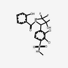 CNS(=O)(=O)c1ccc(C(NC(=O)c2ccccc2O)C(C)(O)C(F)(F)F)c(Cl)c1Cl